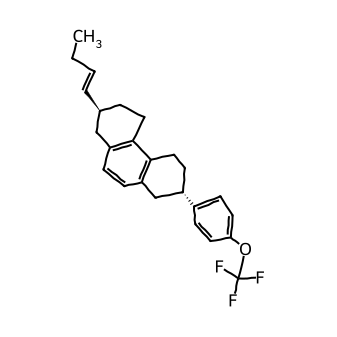 CCC=C[C@H]1CCc2c(ccc3c2CC[C@H](c2ccc(OC(F)(F)F)cc2)C3)C1